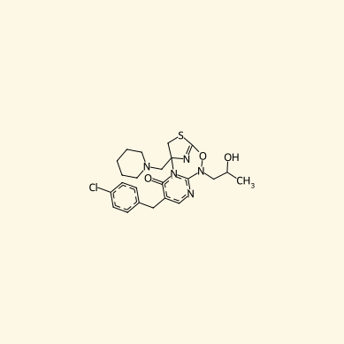 CC(O)CN1OC2=NC(CN3CCCCC3)(CS2)n2c1ncc(Cc1ccc(Cl)cc1)c2=O